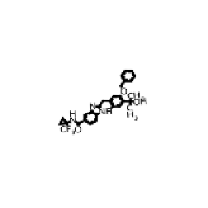 CC(C)(O)c1cc(F)c(Cc2nc3cc(C(=O)NC4(C(F)(F)F)CC4)ccc3[nH]2)cc1OCc1ccccc1